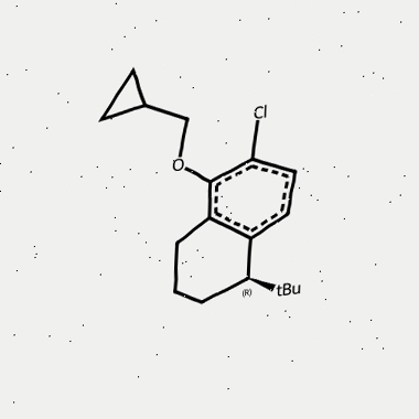 CC(C)(C)[C@H]1CCCc2c1ccc(Cl)c2OCC1CC1